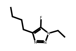 CCCCc1nnn(CC)c1F